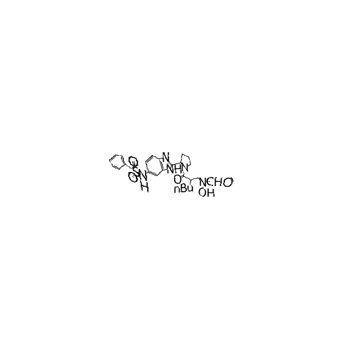 CCCCC(CN(O)C=O)C(=O)N1CCCC1c1nc2ccc(NS(=O)(=O)c3ccccc3)cc2[nH]1